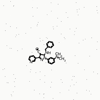 CN(C)c1cccc(N2N=C(c3cccnc3)C(=C=O)C2NCc2ccccc2)c1